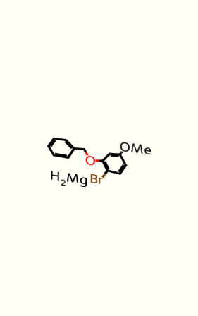 COc1ccc(Br)c(OCc2ccccc2)c1.[MgH2]